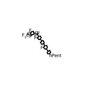 CCCCCc1ccc(-c2ccc(-c3ccc(-c4ccc(C(F)(F)Oc5cc(F)c(OC(F)(F)F)c(F)c5)c(F)c4)cc3)c(F)c2)cc1